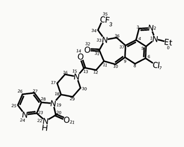 CCn1ncc2c1=C(Cl)CC1=CC(CC(=O)N3CCC(n4c(=O)[nH]c5ncccc54)CC3)C(=O)N(CC(F)(F)F)CC=21